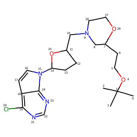 CC(C)(C)OCCC1CN(CC2CCC(n3ccc4c(Cl)ncnc43)O2)CCO1